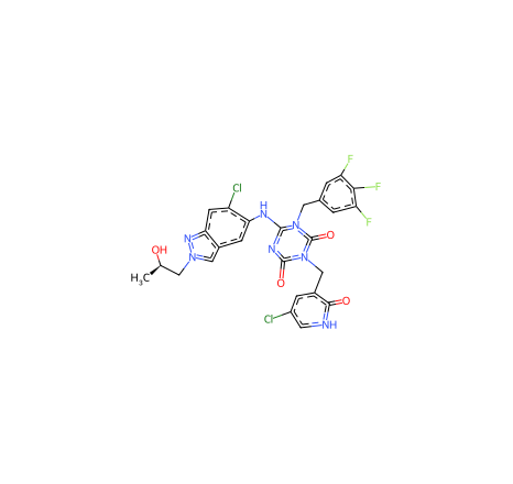 C[C@@H](O)Cn1cc2cc(Nc3nc(=O)n(Cc4cc(Cl)c[nH]c4=O)c(=O)n3Cc3cc(F)c(F)c(F)c3)c(Cl)cc2n1